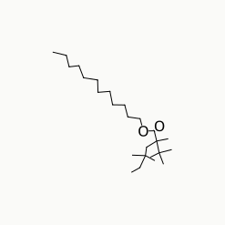 CCCCCCCCCCCCOC(=O)C(C)(CC(C)(C)CC)C(C)(C)C